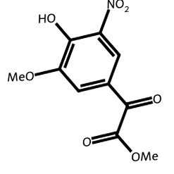 COC(=O)C(=O)c1cc(OC)c(O)c([N+](=O)[O-])c1